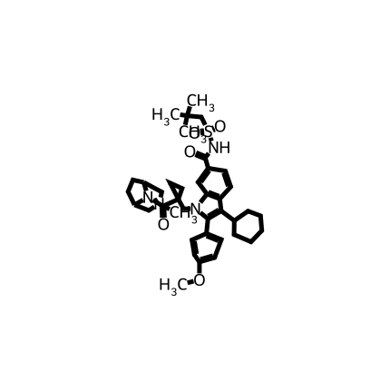 COc1ccc(-c2c(C3CCCCC3)c3ccc(C(=O)NS(=O)(=O)CC(C)(C)C)cc3n2CC2(C(=O)N3C4CCC3CN(C)C4)CC2)cc1